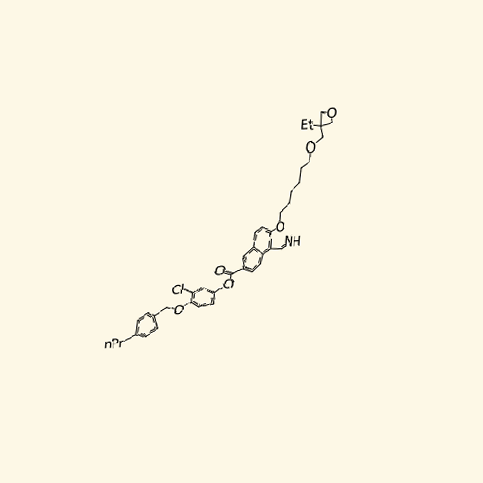 CCCc1ccc(COc2ccc(OC(=O)c3ccc4c(C=N)c(OCCCCCCOCC5(CC)COC5)ccc4c3)cc2Cl)cc1